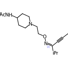 CC#C/C(=N\OCCN1CCC(NC(C)=O)CC1)C(C)C